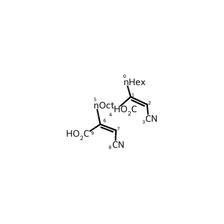 CCCCCCC(=CC#N)C(=O)O.CCCCCCCCC(=CC#N)C(=O)O